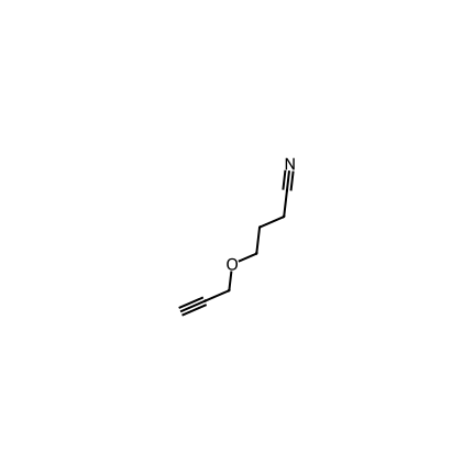 C#CCOCCCC#N